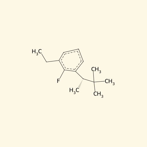 CCc1cccc([C@@H](C)C(C)(C)C)c1F